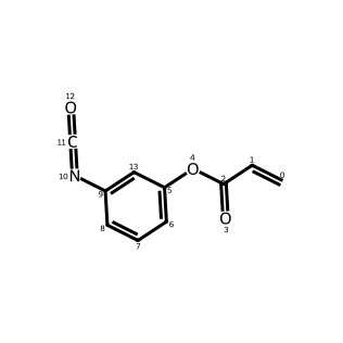 C=CC(=O)Oc1cccc(N=C=O)c1